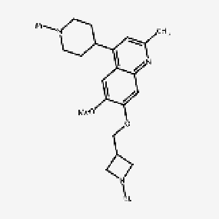 CCN1CC(COc2cc3nc(C)cc(C4CCN(C(C)C)CC4)c3cc2OC)C1